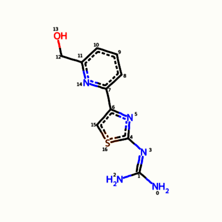 NC(N)=Nc1nc(-c2cccc(CO)n2)cs1